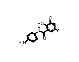 Nc1ccc(NC(=O)c2cc(Cl)cc(Cl)c2O)cc1